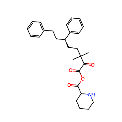 CC(C)(CC[C@@H](CCc1ccccc1)c1ccccc1)C(=O)C(=O)OC(=O)C1CCCCN1